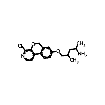 CC(N)CC(C)COc1ccc2c(c1)COc1c-2ccnc1Cl